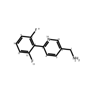 NCc1ccc(-c2c(F)cccc2F)nc1